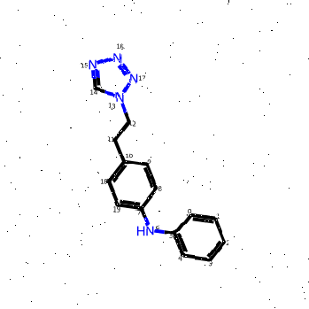 [c]1ccccc1Nc1ccc(CCn2cnnn2)cc1